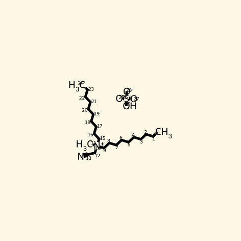 CCCCCCCCCC[N+](C)(CC#N)CCCCCCCCCC.O=S(=O)([O-])O